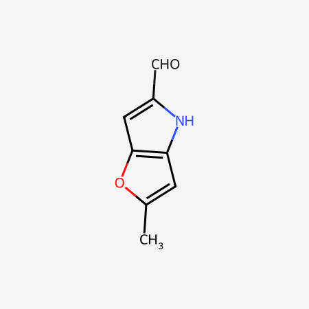 Cc1cc2[nH]c(C=O)cc2o1